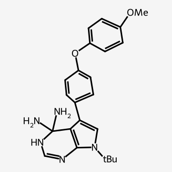 COc1ccc(Oc2ccc(-c3cn(C(C)(C)C)c4c3C(N)(N)NC=N4)cc2)cc1